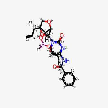 [C-]#[N+]CCOP(C)O[C@H]1C2OCC1([C@@H](C)C=C)O[C@H]2n1ccc(NC(=O)c2ccccc2)nc1=O